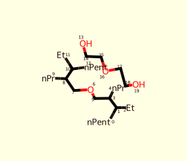 CCCCCC(CC)C(CCC)COCC(CCC)C(CC)CCCCC.OCCOCCO